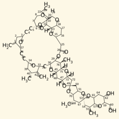 C=C1CC2CC[C@@]34CCOC5C(O3)[C@H]3OC(CCC3O[C@H]5C(CC)O4)CC(=O)OC3C(CC4OC(CCC1O2)C[C@@H](C)C4=C)O[C@H]1C[C@H]2O[C@]4(CC5O[C@]6(C[C@H](C)C7OC(CO)C(O)CC7O6)C[C@H](C)C5O4)C[C@H]2O[C@H]1[C@@H]3C